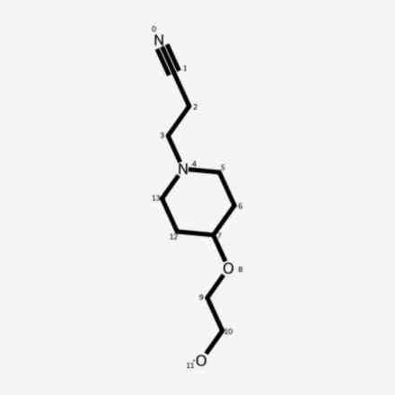 N#CCCN1CCC(OCC[O])CC1